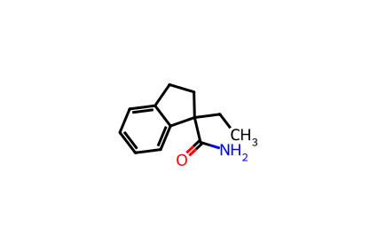 CCC1(C(N)=O)CCc2ccccc21